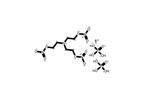 O=P(O)(O)O.O=P(O)(O)O.O=[N+]([O-])OCCN(CCO[N+](=O)[O-])CCO[N+](=O)[O-].[B+3]